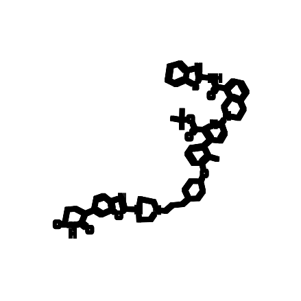 Cc1c(OC2CCC(CCCN3CCN(c4nc5ccc(C6CCC(=O)NC6=O)cc5o4)CC3)CC2)cccc1-c1ccc(N2CCc3cccc(C(=O)Nc4nc5ccccc5s4)c3C2)nc1C(=O)OC(C)(C)C